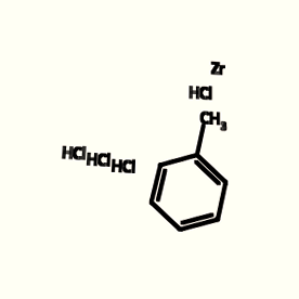 Cc1ccccc1.Cl.Cl.Cl.Cl.[Zr]